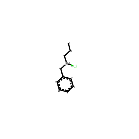 CCC[Si](Cl)Cc1ccccc1